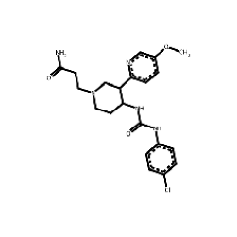 COc1ccc(C2CN(CCC(N)=O)CCC2NC(=O)Nc2ccc(Cl)cc2)nc1